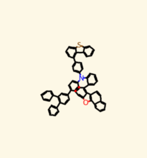 c1ccc(-c2ccc(-c3ccc(N(c4ccc(-c5cccc6sc7ccccc7c56)cc4)c4ccccc4-c4cccc5oc6c7ccccc7ccc6c45)cc3)cc2-c2ccccc2)cc1